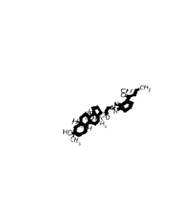 CCCC(OC)c1cccc2nn(CC(=O)[C@H]3CC[C@H]4[C@@H]5CC[C@H]6C[C@](C)(O)CC[C@@H]6[C@H]5CC[C@]34C)nc12